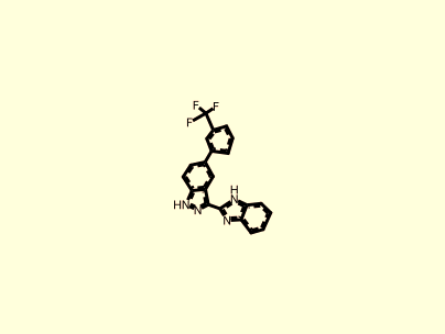 FC(F)(F)c1cccc(-c2ccc3[nH]nc(-c4nc5ccccc5[nH]4)c3c2)c1